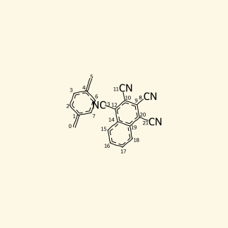 C=c1ccc(=C)cc1.N#Cc1c(C#N)c(C#N)c2ccccc2c1C#N